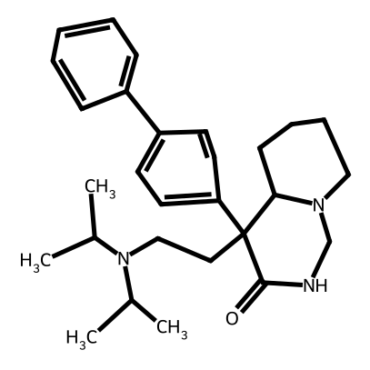 CC(C)N(CCC1(c2ccc(-c3ccccc3)cc2)C(=O)NCN2CCCCC21)C(C)C